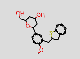 COc1ccc(C2CC(O)CC(CO)O2)cc1CC1Cc2ccccc2S1